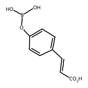 O=C(O)C=Cc1ccc(OB(O)O)cc1